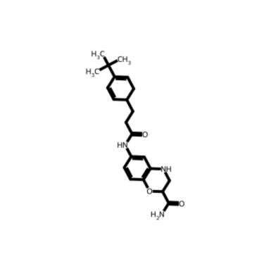 CC(C)(C)C1=CCC(CCC(=O)Nc2ccc3c(c2)NCC(C(N)=O)O3)C=C1